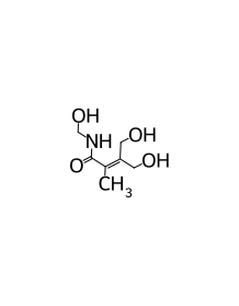 CC(C(=O)NCO)=C(CO)CO